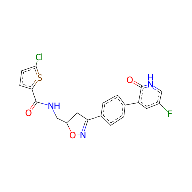 O=C(NCC1CC(c2ccc(-c3cc(F)c[nH]c3=O)cc2)=NO1)c1ccc(Cl)s1